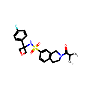 CC(C)C(=O)N1CCc2ccc(S(=O)(=O)NC3(c4ccc(F)cc4)COC3)cc2C1